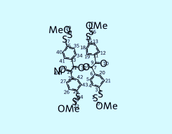 COSSc1ccc(C(=O)C(=O)c2ccc(SSOC)cc2)cc1.COSSc1ccc(C(=O)C(=O)c2ccc(SSOC)cc2)cc1.[Ni]